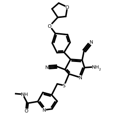 CNC(=O)c1cc(CSc2nc(N)c(C#N)c(-c3ccc(OC4CCOC4)cc3)c2C#N)ccn1